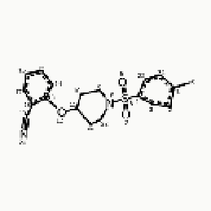 Cc1ccc(S(=O)(=O)N2CCC(Oc3ccccc3C#N)CC2)cc1